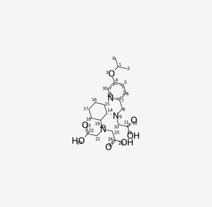 CC(C)Oc1ccc(CN(CC(=O)O)[C@H]2CCCCC2N(CC(=O)O)CC(=O)O)nc1